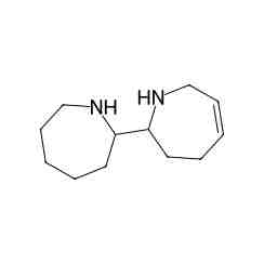 C1=CCNC(C2CCCCCN2)CC1